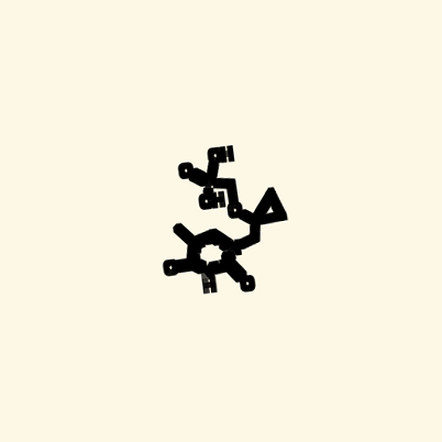 Cc1cn(CC2(OCP(=O)(O)O)CC2)c(=O)[nH]c1=O